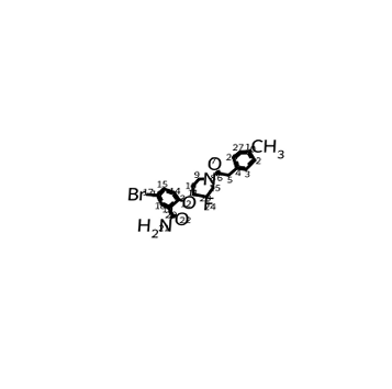 Cc1ccc(CC(=O)N2CC[C@@H](Oc3ccc(Br)cc3C(N)=O)[C@@H](F)C2)cc1